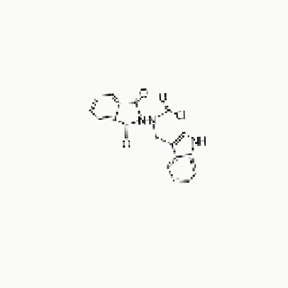 O=C(Cl)N(Cc1c[nH]c2ccccc12)N1C(=O)c2ccccc2C1=O